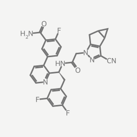 N#Cc1nn(CC(=O)N[C@@H](Cc2cc(F)cc(F)c2)c2ncccc2-c2ccc(F)c(C(N)=O)c2)c2c1C1CC1C2